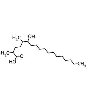 CCCCCCCCCCCCC(O)C(C)CCC(C)C(=O)O